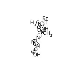 CN(C(=O)Nc1cc(C(F)(F)F)cn(C)c1=O)C1CCN(c2cnn3cc(O[C@H]4CC[C@@H]4O)ncc23)CC1